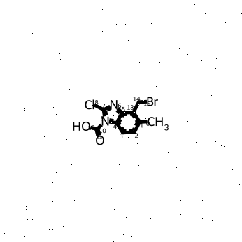 Cc1ccc2c(nc(Cl)n2C(=O)O)c1CBr